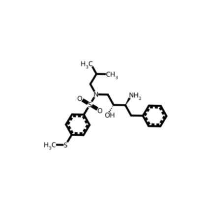 CSc1ccc(S(=O)(=O)N(CC(C)C)C[C@@H](O)[C@@H](N)Cc2ccccc2)cc1